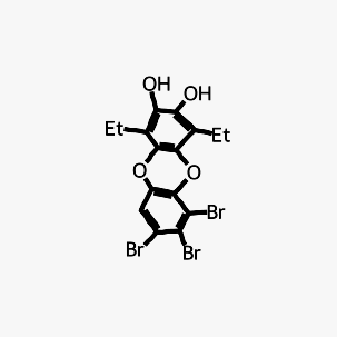 CCc1c(O)c(O)c(CC)c2c1Oc1cc(Br)c(Br)c(Br)c1O2